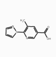 Cc1cc(C(=O)O)cnc1-n1cccn1